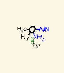 Cc1ccc([N+]#N)c(N)c1C.[Cl-].[Cl-].[Zn+]